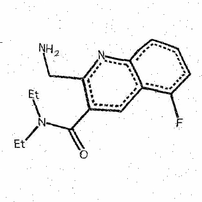 CCN(CC)C(=O)c1cc2c(F)cccc2nc1CN